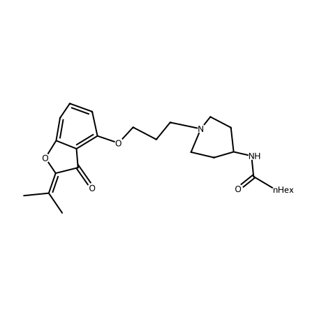 CCCCCCC(=O)NC1CCN(CCCOc2cccc3c2C(=O)C(=C(C)C)O3)CC1